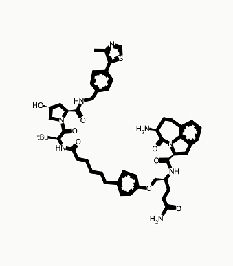 Cc1ncsc1-c1ccc(CNC(=O)[C@@H]2C[C@@H](O)CN2C(=O)[C@@H](NC(=O)CCCCCc2ccc(OC[C@H](CCC(N)=O)NC(=O)[C@@H]3Cc4cccc5c4N3C(=O)[C@@H](N)CC5)cc2)C(C)(C)C)cc1